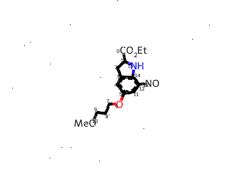 CCOC(=O)C1Cc2cc(OCCCOC)cc(N=O)c2N1